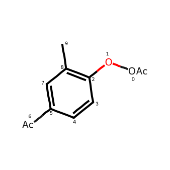 CC(=O)OOc1ccc(C(C)=O)cc1C